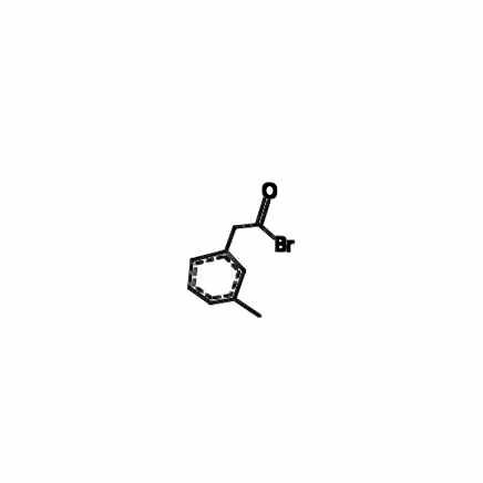 Cc1cccc(CC(=O)Br)c1